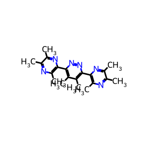 Cc1nc(C)c(-c2nnc(-c3nc(C)c(C)nc3C)c(C)c2C)nc1C